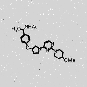 COC1CCN(c2nccc(N3CC[C@@H](Oc4ccc([C@H](C)NC(C)=O)cc4)C3)n2)CC1